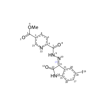 COC(=O)c1ccc(C(=O)N/N=C2\C(=O)Nc3ccc(I)cc32)nc1